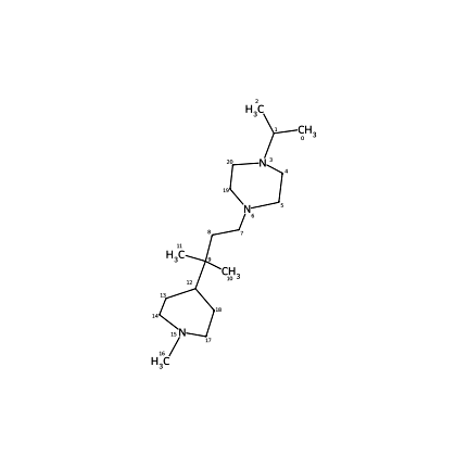 CC(C)N1CCN(CCC(C)(C)C2CCN(C)CC2)CC1